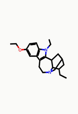 CCOc1ccc2c(c1)c1c(n2CC)C2CC3CC(CC)C2N(CC1)C3